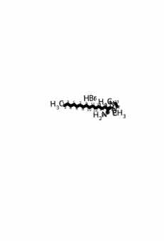 Br.CCCCCCCCCCCCCCCC(CN)=C1N(C)CCN1C